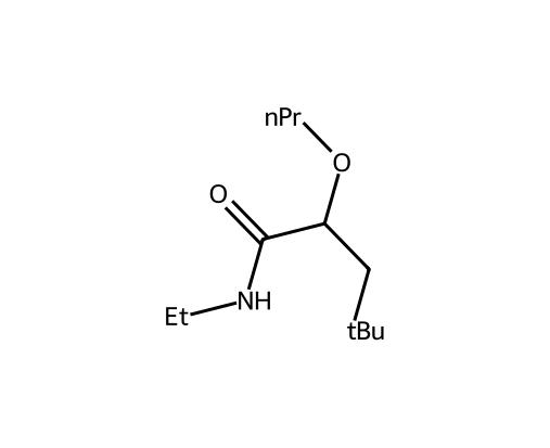 CCCOC(CC(C)(C)C)C(=O)NCC